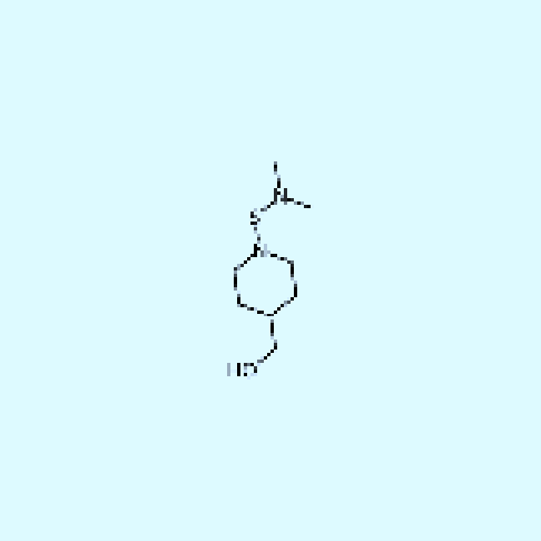 CN(C)SN1CCC(CO)CC1